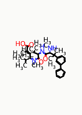 CN[C@H](C(=O)NC(C(=O)N(C)[C@H](/C=C(\C)C(=O)O)C(C)C)C(C)(C)C)C(C)(C)c1cccc(-c2ccccc2)c1